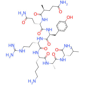 CC(C)C[C@H](NC(=O)[C@H](C)NC(=O)[C@H](CCCCN)NC(=O)[C@H](CCCNC(=N)N)NC(=O)[C@H](Cc1ccc(O)cc1)NC(=O)[C@H](CCC(N)=O)NC(=O)[C@@H](C)CCC(N)=O)C(N)=O